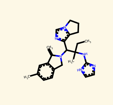 C=C1c2cc(C)ccc2CN1C(c1ncn2c1CCC2)C(C)(CC)Nc1ncc[nH]1